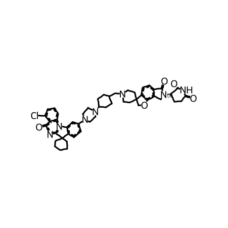 O=C1CC[C@H](N2Cc3c(ccc4c3OCC43CCN(CC4CCC(N5CCN(c6ccc7c(c6)-n6c(nc(=O)c8c(Cl)cccc86)C76CCCCC6)CC5)CC4)CC3)C2=O)C(=O)N1